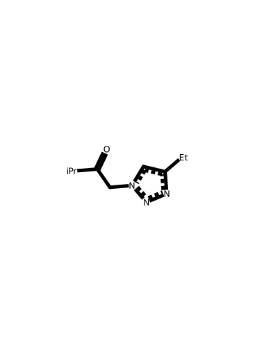 CCc1cn(CC(=O)C(C)C)nn1